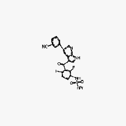 CCCS(=O)(=O)Nc1ccc(F)c(C(=O)c2c[nH]c3ncc(-c4cccc(C#N)c4)cc23)c1F